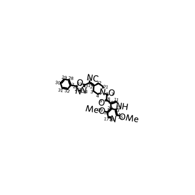 [C-]#[N+]C(=C1CCN(C(=O)C(=O)c2c[nH]c3c(OC)ncc(OC)c23)CC1)c1nnc(-c2ccccc2)o1